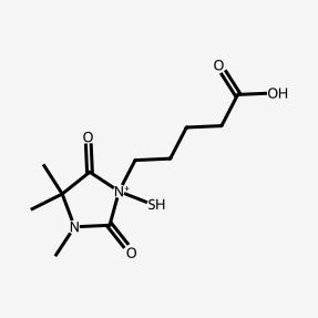 CN1C(=O)[N+](S)(CCCCC(=O)O)C(=O)C1(C)C